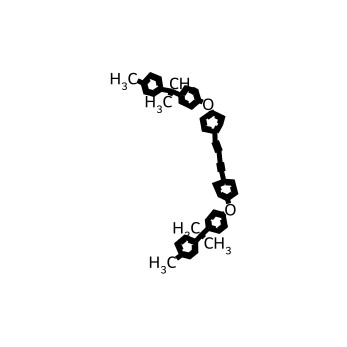 Cc1ccc(C(C)(C)c2ccc(Oc3ccc(C#CC#Cc4ccc(Oc5ccc(C(C)(C)c6ccc(C)cc6)cc5)cc4)cc3)cc2)cc1